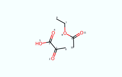 CC(=O)C(=O)O.CCOC(C)=O